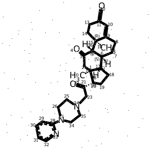 C[C@]12CC(=O)[C@H]3[C@@H](CCC4=CC(=O)CC[C@@]43C)[C@@H]1CC[C@@H]2C(=O)CN1CCN(c2ccccn2)CC1